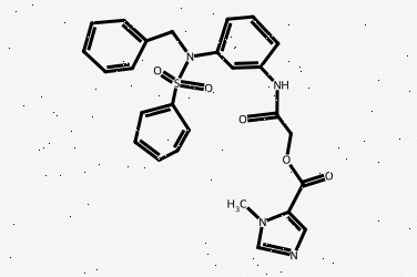 Cn1cncc1C(=O)OCC(=O)Nc1cccc(N(Cc2ccccc2)S(=O)(=O)c2ccccc2)c1